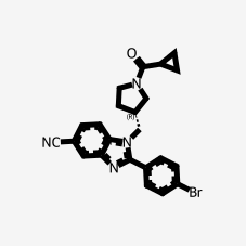 N#Cc1ccc2c(c1)nc(-c1ccc(Br)cc1)n2C[C@@H]1CCN(C(=O)C2CC2)C1